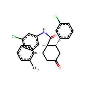 Cc1ccccc1[C@H]1CC(=O)C[C@@H](c2cccc(Cl)c2)[C@]12C(=O)Nc1cc(Cl)ccc12